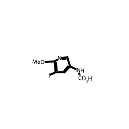 COc1ncc(NC(=O)O)cc1I